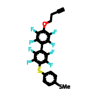 C#CCCOc1c(F)c(F)c(-c2c(F)c(F)c(Sc3ccc(SC)cc3)c(F)c2F)c(F)c1F